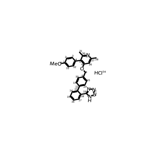 COc1ccc(-c2c(OCc3ccc(-c4ccccc4-c4nnn[nH]4)cc3)cc(C)nc2C)cc1.Cl